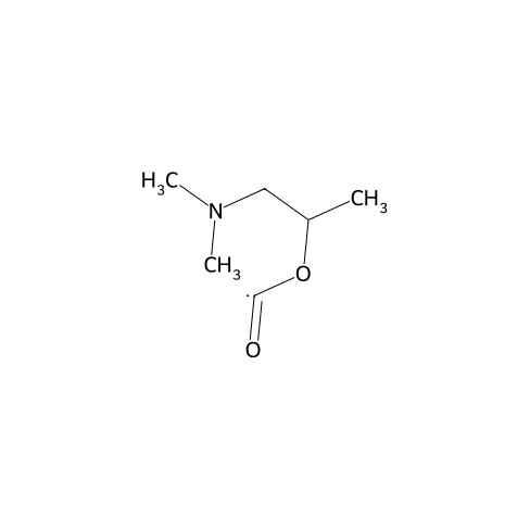 CC(CN(C)C)O[C]=O